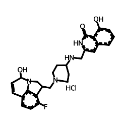 Cl.O=c1[nH]c(CNC2CCN(CC3CN4c5c(ccc(F)c53)C=CC4O)CC2)cc2cccc(O)c12